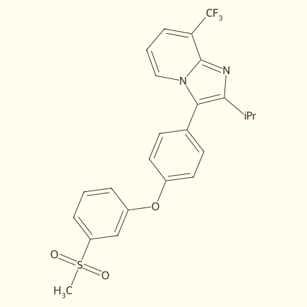 CC(C)c1nc2c(C(F)(F)F)cccn2c1-c1ccc(Oc2cccc(S(C)(=O)=O)c2)cc1